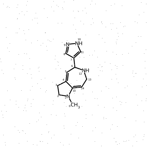 CN1CCC2=CC(c3cn[nH]c3)NCC=C21